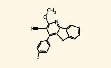 COc1nc2c(c(-c3ccc(F)cc3)c1C#N)Cc1ccccc1-2